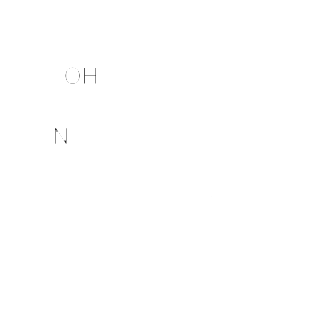 C/C(CC(C)C)=N/O